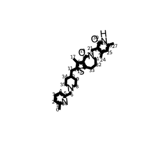 Cc1cccc(CN2CCC(Cc3sc4c(c3C)C(=O)N(Cc3c(C)cc(C)[nH]c3=O)CCC4)CC2)n1